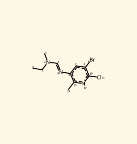 CCN(C)/C=N/c1cc(Br)c(Cl)nc1C